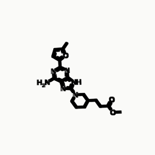 COC(=O)CCC1CCCN(c2nc3c(N)nc(-c4ccc(C)o4)nc3[nH]2)C1